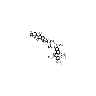 COc1cc2nc(C)nc(N[C@H](C)c3cc(N)cc(C(F)(F)F)c3)c2cc1OCC1(CN(C)CC(=O)Nc2ccc3c(c2)C(=O)N(C2CCC(=O)NC2=O)C3=O)CC1